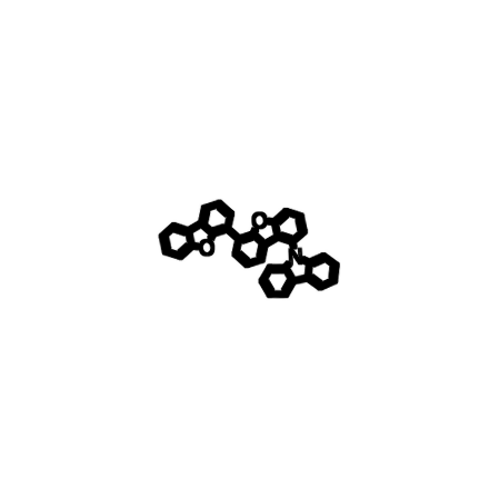 c1ccc2c(c1)oc1c(-c3cccc4c3oc3cccc(-n5c6ccccc6c6ccccc65)c34)cccc12